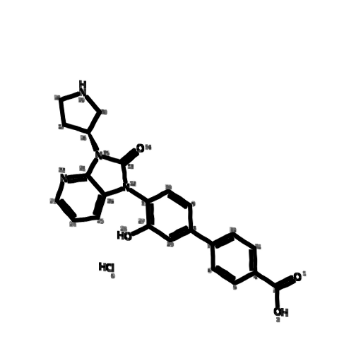 Cl.O=C(O)c1ccc(-c2ccc(-n3c(=O)n([C@H]4CCNC4)c4ncccc43)c(O)c2)cc1